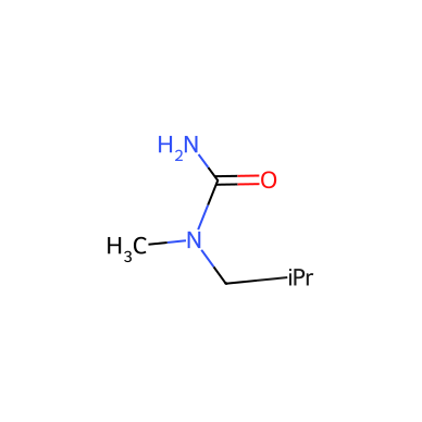 CC(C)CN(C)C(N)=O